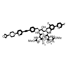 COC(=O)N[C@H](C(=O)N[C@@H](Cc1ccc(C#Cc2ccc(N3CCN(C4COC4)CC3)nc2)cc1)[C@@H](O)CN(Cc1c(F)cc(-c2ccc(F)cn2)cc1F)NC(=O)[C@@H](NC(=O)OC)C(C)(C)C(F)(F)F)C(C)(C)C(F)(F)F